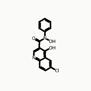 O=C(c1cnc2ccc(Cl)cc2c1O)N(O)c1ccccc1